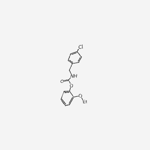 CCOc1ccccc1OC(=O)NCc1ccc(Cl)cc1